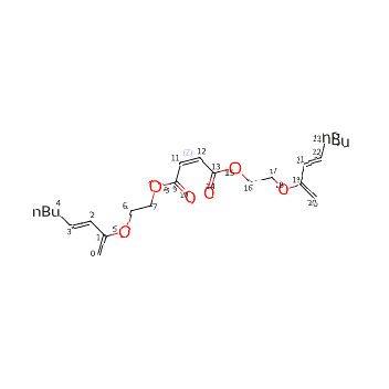 C=C(C=CCCCC)OCCOC(=O)/C=C\C(=O)OCCOC(=C)C=CCCCC